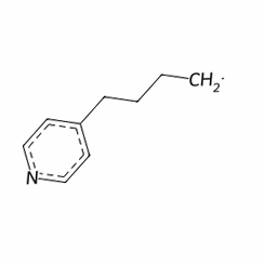 [CH2]CCCc1ccncc1